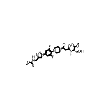 COC(=O)[C@H](CO)NC(=O)CC(=O)N1CCN(c2c(F)cc(-n3cc(CNC(=S)OC)nn3)cc2F)CC1